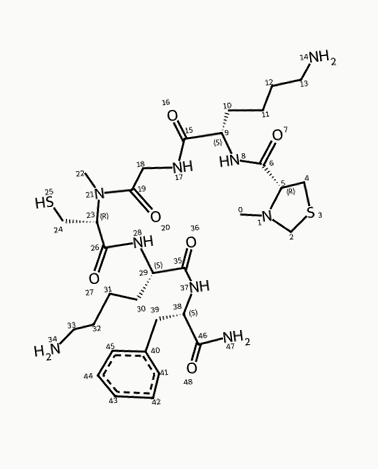 CN1CSC[C@H]1C(=O)N[C@@H](CCCCN)C(=O)NCC(=O)N(C)[C@@H](CS)C(=O)N[C@@H](CCCCN)C(=O)N[C@@H](Cc1ccccc1)C(N)=O